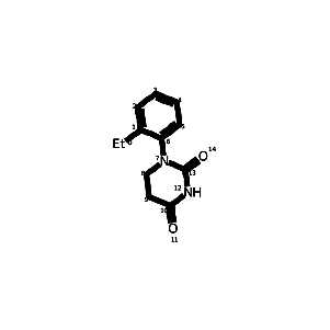 CCc1ccccc1N1CCC(=O)NC1=O